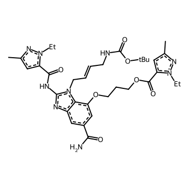 CCn1nc(C)cc1C(=O)Nc1nc2cc(C(N)=O)cc(OCCCOC(=O)c3cc(C)nn3CC)c2n1CC=CCNC(=O)OC(C)(C)C